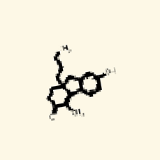 CCCCC12CCC(=O)C(C)=C1c1ccc(O)cc1C2